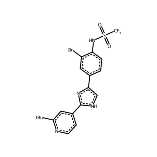 CC(C)(C)c1cc(-c2nc(-c3ccc(NS(=O)(=O)C(F)(F)F)c(Br)c3)c[nH]2)ccn1